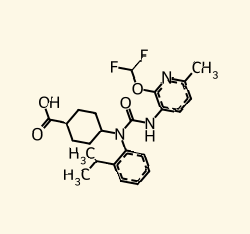 Cc1ccc(NC(=O)N(c2ccccc2C(C)C)C2CCC(C(=O)O)CC2)c(OC(F)F)n1